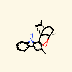 C=C(C)[C@H]1CC[C@]2(C)C[C@H]1c1c(c(C)cc3c1[nH]c1ccccc13)O2